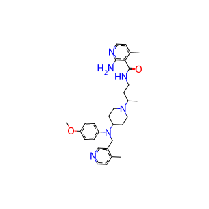 COc1ccc(N(Cc2cnccc2C)C2CCN(C(C)CCNC(=O)c3c(C)ccnc3N)CC2)cc1